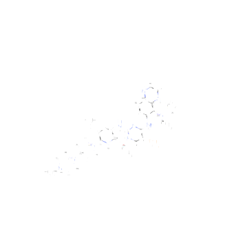 CCc1cc(Nc2ncc(P)c(Nc3ccc4nccnc4c3N(C)SC)n2)c(OC)nc1N1CCC(N2CCN(C)CC2)CC1